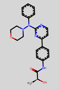 C[C@H](O)C(=O)Nc1ccc(-c2ccnc(N(c3ccccc3)N3CCOCC3)n2)cc1